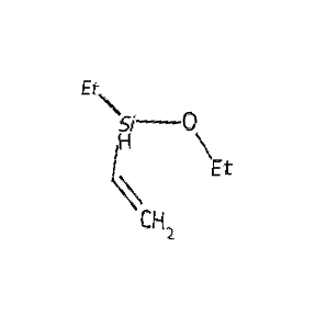 C=C[SiH](CC)OCC